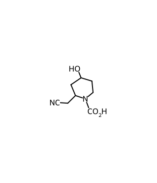 N#CCC1CC(O)CCN1C(=O)O